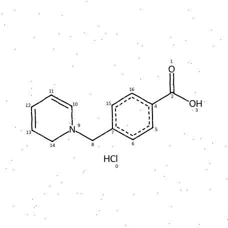 Cl.O=C(O)c1ccc(CN2C=CC=CC2)cc1